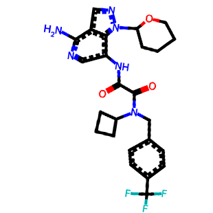 Nc1ncc(NC(=O)C(=O)N(Cc2ccc(C(F)(F)F)cc2)C2CCC2)c2c1cnn2C1CCCCO1